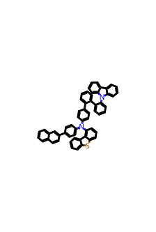 c1ccc(-c2ccccc2-n2c3ccccc3c3ccccc32)c(-c2ccc(N(c3ccc(-c4ccc5ccccc5c4)cc3)c3cccc4sc5ccccc5c34)cc2)c1